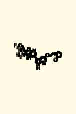 CC(C)C(N)(C(=O)NCC(F)(F)F)c1cncc(-c2c[nH]c3ncc(OCCN4CCCC4=O)cc23)c1